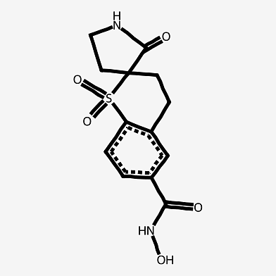 O=C(NO)c1ccc2c(c1)CCC1(CCNC1=O)S2(=O)=O